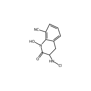 N#Cc1cccc2c1N(O)C(=O)C(NCl)C2